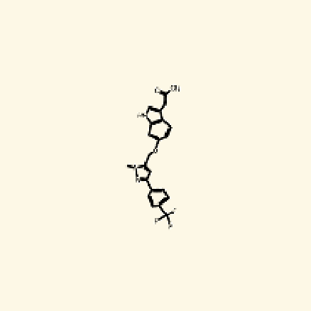 Cn1nc(-c2ccc(C(F)(F)F)cc2)cc1COc1ccc2c(CC(=O)O)c[nH]c2c1